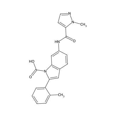 Cc1ccccc1-c1cc2ccc(NC(=O)c3ccnn3C)cc2n1C(=O)O